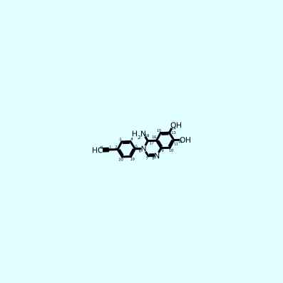 C#Cc1ccc(N2C=Nc3cc(O)c(O)cc3C2N)cc1